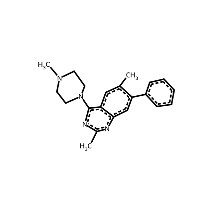 Cc1nc(N2CCN(C)CC2)c2cc(C)c(-c3ccccc3)cc2n1